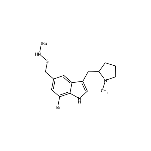 CN1CCCC1Cc1c[nH]c2c(Br)cc(CSNC(C)(C)C)cc12